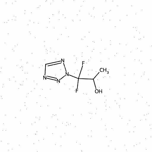 CC(O)C(F)(F)n1ncnn1